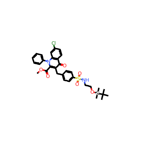 COC(=O)c1c(Cc2ccc(S(=O)(=O)NCCO[Si](C)(C)C(C)(C)C)cc2)c(=O)c2ccc(Cl)cc2n1-c1ccccc1